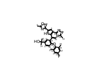 Cc1nc(-c2cc3c([nH]2)c(-c2cc(C(C)(C)O)ccc2Oc2c(C)cc(F)cc2C)cn2c(C)nnc32)no1